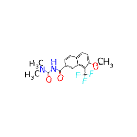 COc1ccc2ccc(C(=O)NC(=O)N(C)C)cc2c1C(F)(F)F